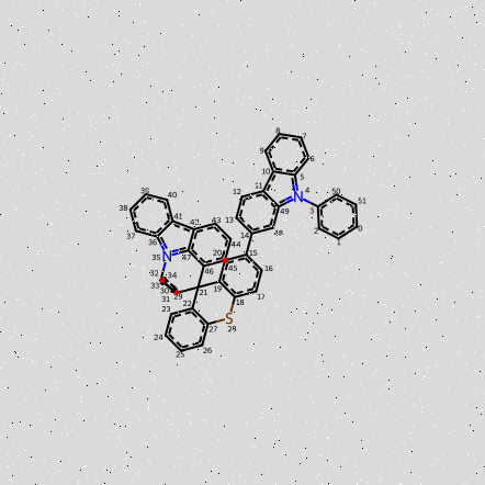 c1ccc(-n2c3ccccc3c3ccc(-c4ccc5c(c4)C4(c6ccccc6S5)c5ccccc5-n5c6ccccc6c6cccc4c65)cc32)cc1